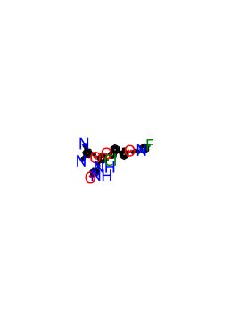 Cc1c(OCCCN2CCC(F)CC2)cccc1-c1cccc2c1CC[C@@H]2Oc1cc(OCc2cc(C#N)cc(C#N)c2)c(CNC2CCC(=O)NC2)cc1Cl